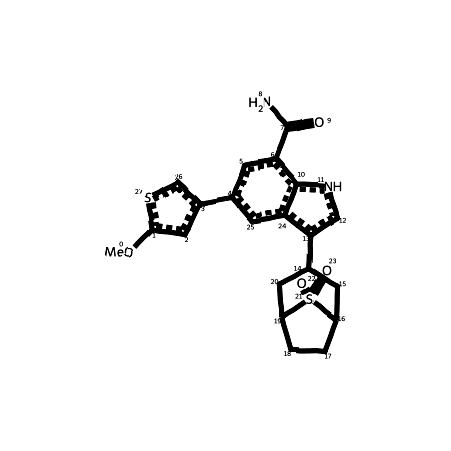 COc1cc(-c2cc(C(N)=O)c3[nH]cc(C4CC5CCC(C4)S5(=O)=O)c3c2)cs1